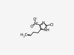 C=CCCc1[nH]c(Cl)nc1[N+](=O)[O-]